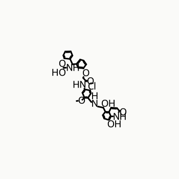 COc1cc(NC(=O)COc2cccc([C@@H](NC(=O)O)c3ccccc3)c2)c(Cl)cc1CNC[C@H](O)c1ccc(O)c2[nH]c(=O)ccc12